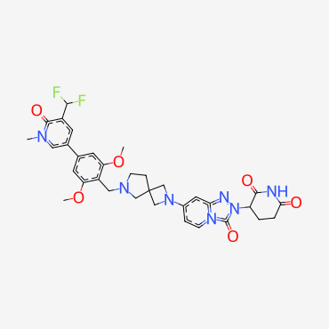 COc1cc(-c2cc(C(F)F)c(=O)n(C)c2)cc(OC)c1CN1CCC2(C1)CN(c1ccn3c(=O)n(C4CCC(=O)NC4=O)nc3c1)C2